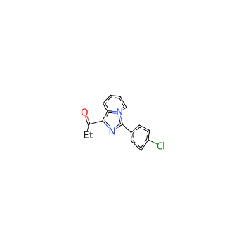 CCC(=O)c1nc(-c2ccc(Cl)cc2)n2ccccc12